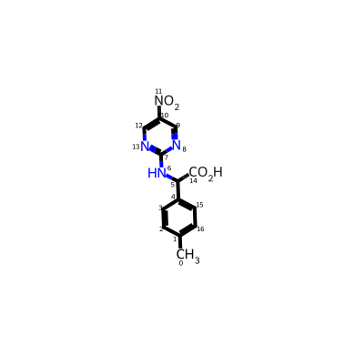 Cc1ccc(C(Nc2ncc([N+](=O)[O-])cn2)C(=O)O)cc1